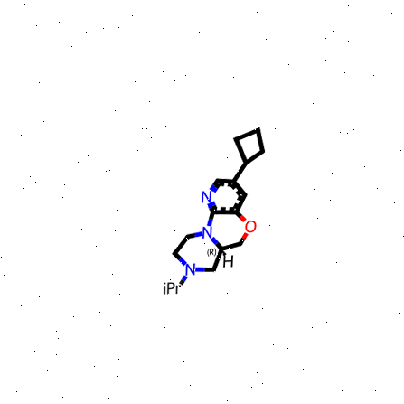 CC(C)N1CCN2c3ncc(C4CCC4)cc3OC[C@H]2C1